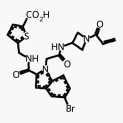 C=CC(=O)N1CC(NC(=O)Cn2c(C(=O)NCc3ccc(C(=O)O)s3)cc3cc(Br)ccc32)C1